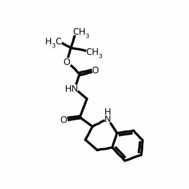 CC(C)(C)OC(=O)NCC(=O)C1CCc2ccccc2N1